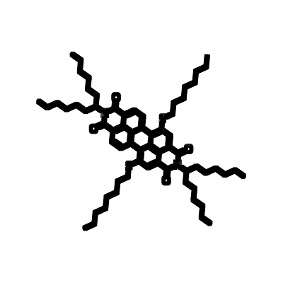 CCCCCCCCSc1cc2c3c(cc(SCCCCCCCC)c4c5ccc6c7c(ccc(c1c34)c75)C(=O)N(C(CCCCCC)CCCCCC)C6=O)C(=O)N(C(CCCCCC)CCCCCC)C2=O